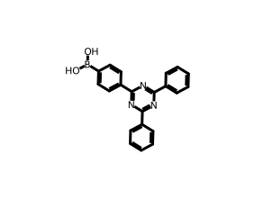 OB(O)c1ccc(-c2nc(-c3ccccc3)nc(-c3ccccc3)n2)cc1